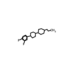 CCCC1CCC(C2CCC(c3ccc(F)c(F)c3)CC2)CC1